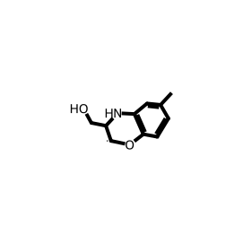 Cc1ccc2c(c1)NC(CO)[CH]O2